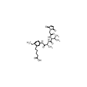 CCc1ccc(NC(=O)[C@H](C)NC(=O)[C@@H](NC(=O)CN2C(=O)C=CC2=O)C(C)C)cc1CCCCC(=O)O